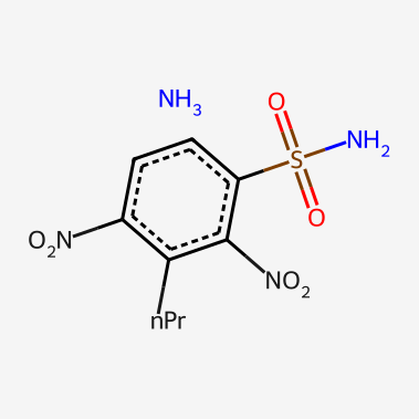 CCCc1c([N+](=O)[O-])ccc(S(N)(=O)=O)c1[N+](=O)[O-].N